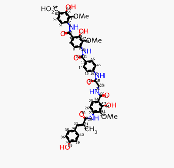 COc1c(NC(=O)c2ccc(NC(=O)c3ccc(NC(=O)CNC(=O)c4ccc(NC(=O)/C(C)=C/c5ccc(O)cc5)c(OC)c4O)cc3)c(OC)c2O)ccc(C(=O)O)c1O